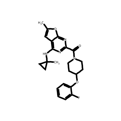 Cc1cc2c(NC3(C)CC3)nc(C(=O)N3CCC(Oc4ccccc4F)CC3)nc2o1